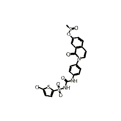 CS(=O)Oc1ccc2ccn(-c3ccc(NC(=O)NS(=O)(=O)c4ccc(Cl)s4)cc3)c(=O)c2c1